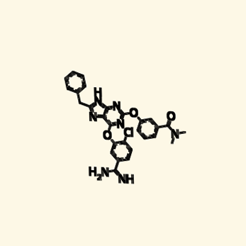 CN(C)C(=O)c1cccc(Oc2nc(Oc3cc(C(=N)N)ccc3Cl)c3nc(Cc4ccccc4)[nH]c3n2)c1